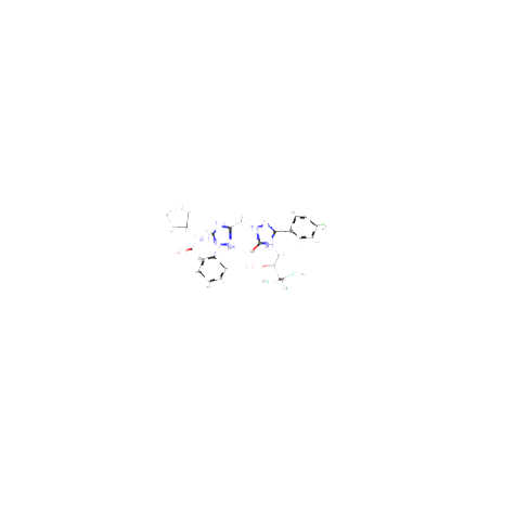 O=C(NC1CCOC1)c1ccccc1-n1cnc(Cn2nc(-c3ccc(Cl)cc3)n(CC(O)C(F)(F)F)c2=O)n1